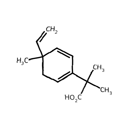 C=CC1(C)C=CC(C(C)(C)C(=O)O)=CC1